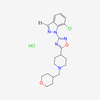 CCc1nn(-c2noc(C3CCN(CC4CCOCC4)CC3)n2)c2c(Cl)cccc12.Cl